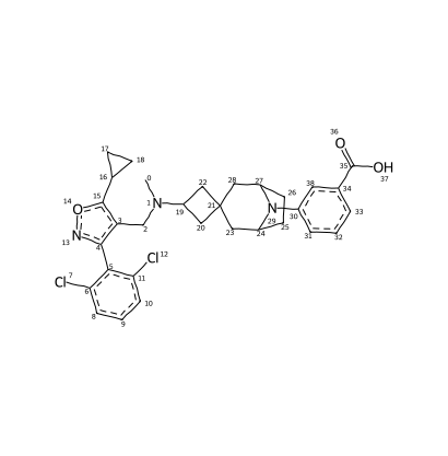 CN(Cc1c(-c2c(Cl)cccc2Cl)noc1C1CC1)C1CC2(C1)CC1CCC(C2)N1c1cccc(C(=O)O)c1